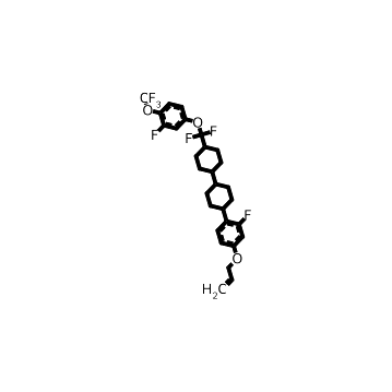 C=CCOc1ccc(C2CCC(C3CCC(C(F)(F)Oc4ccc(OC(F)(F)F)c(F)c4)CC3)CC2)c(F)c1